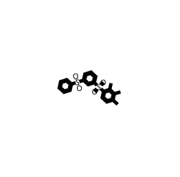 Cc1ccc(S(=O)(=O)c2cccc(S(=O)(=O)c3ccccc3)c2)c(C)c1C